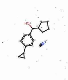 C#N.OC(c1ccc(C2CC2)cc1)C1CCCC1